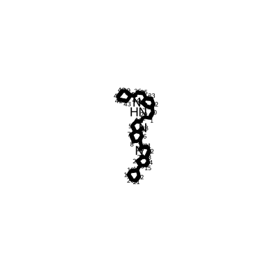 C1=CC(c2ccc3ccc(-c4ccc5ccc(-c6ccccc6)cc5n4)cc3n2)Nc2c1ccc1ccc(-c3ccccc3)nc21